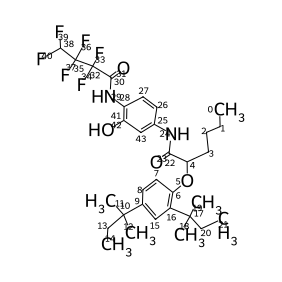 CCCCC(Oc1ccc(C(C)(C)CC)cc1C(C)(C)CC)C(=O)Nc1ccc(NC(=O)C(F)(F)C(F)(F)C(F)F)c(O)c1